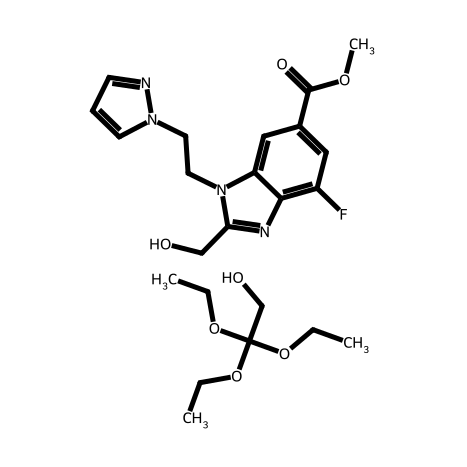 CCOC(CO)(OCC)OCC.COC(=O)c1cc(F)c2nc(CO)n(CCn3cccn3)c2c1